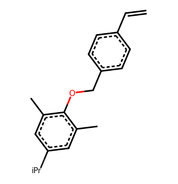 C=Cc1ccc(COc2c(C)cc(C(C)C)cc2C)cc1